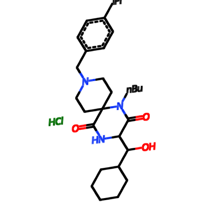 CCCCN1C(=O)C(C(O)C2CCCCC2)NC(=O)C12CCN(Cc1ccc(C(C)C)cc1)CC2.Cl